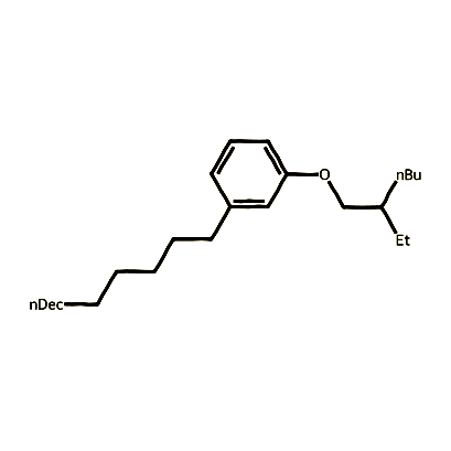 CCCCCCCCCCCCCCCc1cccc(OCC(CC)CCCC)c1